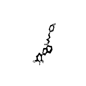 O=C1CCC(N2Cc3cccc(NCCCCN4CCNCC4)c3C2)C(=O)N1